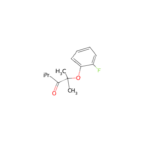 CC(C)C(=O)C(C)(C)Oc1ccccc1F